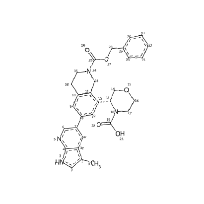 Cc1c[nH]c2ncc(-c3cc4c(c([C@@H]5COCCN5C(=O)O)c3)CN(C(=O)OCc3ccccc3)CC4)cc12